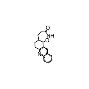 O=C1CCC2CCc3nc4ccccc4cc3C2ON1